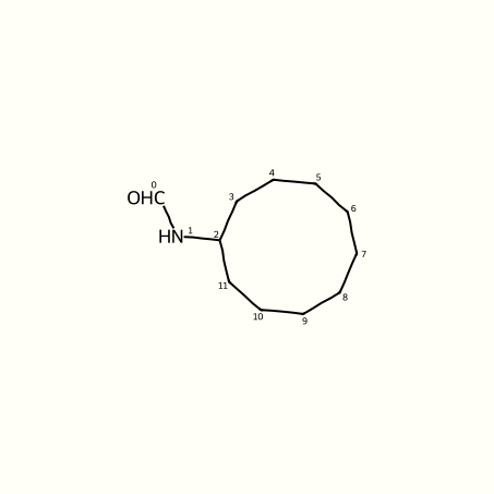 O=CNC1CCCCCCCCC1